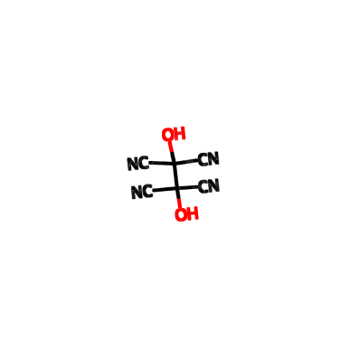 N#CC(O)(C#N)C(O)(C#N)C#N